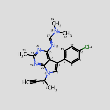 C#CC(C)n1cc(-c2ccc(Cl)cc2)c2c(N=CN(C)C)nc(C)nc21